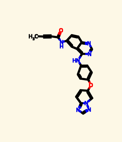 CC#CC(=O)Nc1ccc2ncnc(Nc3ccc(Oc4ccc5ncnn5c4)cc3)c2c1